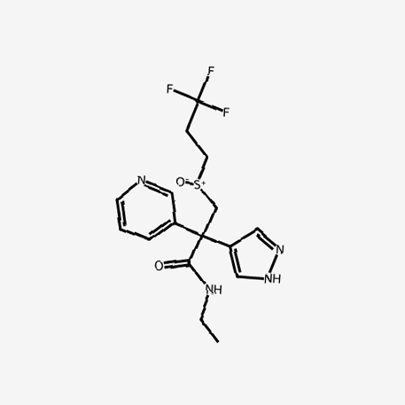 CCNC(=O)C(C[S+]([O-])CCC(F)(F)F)(c1cccnc1)c1cn[nH]c1